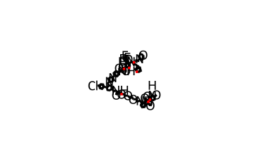 CC1(CNC(=O)COCCOCCOCCNc2cccc3c2C(=O)N(C2CCC(=O)NC2=O)C3=O)CCC(c2ccc(Cl)cc2)=C(CN2CCN(c3ccc(C(=O)NS(=O)(=O)c4ccc(N[C@H](CCN5CCOCC5)CSc5ccccc5)c(S(=O)(=O)C(F)(F)F)c4)cc3)CC2)C1